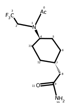 CC(=O)N(CC(F)(F)F)[C@H]1CC[C@H](CC(N)=O)CC1